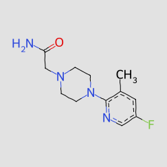 Cc1cc(F)cnc1N1CCN(CC(N)=O)CC1